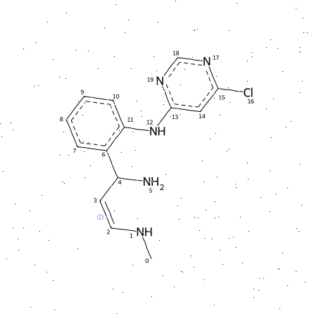 CN/C=C\C(N)c1ccccc1Nc1cc(Cl)ncn1